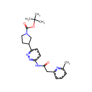 Cc1cccc(CC(=O)Nc2ccc(C3CCN(C(=O)OC(C)(C)C)C3)nn2)n1